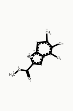 COC(=O)c1cc2c(Cl)c(Cl)c(C)cc2[nH]1